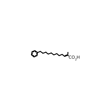 CC(=CCCCCCCCCCc1ccccc1)C(=O)O